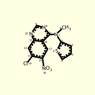 CN(c1cccs1)c1ncnc2cc(Cl)c([N+](=O)[O-])cc12